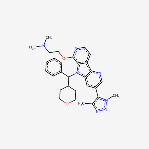 Cc1nnn(C)c1-c1cnc2c3ccnc(OCCN(C)C)c3n(C(c3ccccc3)C3CCOCC3)c2c1